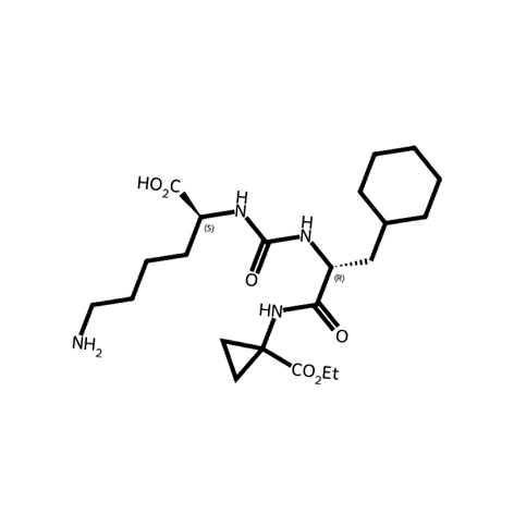 CCOC(=O)C1(NC(=O)[C@@H](CC2CCCCC2)NC(=O)N[C@@H](CCCCN)C(=O)O)CC1